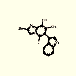 Cc1c(-c2coc3ccccc23)c(Cl)n2cc(C(C)(C)C)nc2c1C#N